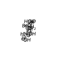 CC(CC(=O)O)NC(=O)c1cc(Oc2c(Br)cc(C(C)(O)[PH2]=O)cc2Br)ccc1O